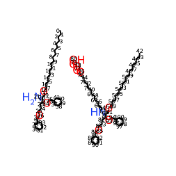 CCCCCCCCCCCCCCCCCCOCC(N)C(CCCOCc1ccccc1)OCc1ccccc1.CCCCCCCCCCCCCCCCCCOCC(NCCCCCCCCCCCCOOOOO)C(CCCOCc1ccccc1)OCc1ccccc1